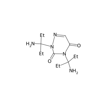 CCC(N)(CC)n1ncc(=O)n(C(N)(CC)CC)c1=O